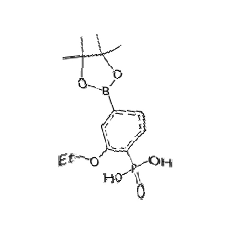 CCOc1cc(B2OC(C)(C)C(C)(C)O2)ccc1P(=O)(O)O